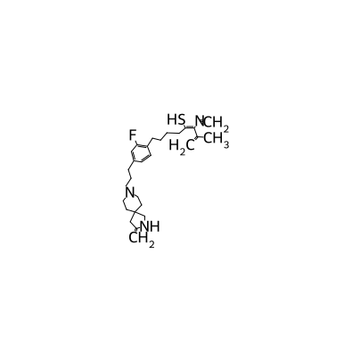 C=N/C(C(=C)C)=C(\S)CCCCc1ccc(CCCN2CCC3(CC2)CNC(=C)C3)cc1F